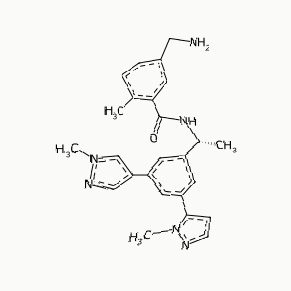 Cc1ccc(CN)cc1C(=O)N[C@H](C)c1cc(-c2cnn(C)c2)cc(-c2ccnn2C)c1